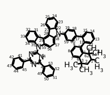 CC1CC(C)(C)c2cccc(-c3ccccc3-c3ccc(-n4c5ccccc5c5c6c7ccccc7n(-c7nc(-c8ccccc8)nc(-c8ccccc8)n7)c6ccc54)cc3)c2C1(C)C